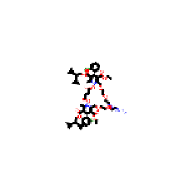 CCOC(=O)C1=C(COCCOCCN)N(OC(=O)/C=C/C(=O)ON2C(C)=C(C(=O)OCC(C3CC3)C3CC3)[C@H](c3ccccc3Cl)C(C(=O)OCC)=C2COCCOCCN)C(C)=C(C(=O)OCC(C2CC2)C2CC2)[C@@H]1c1ccccc1Cl